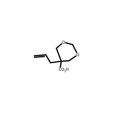 C=CCC1(C(=O)O)COCOC1